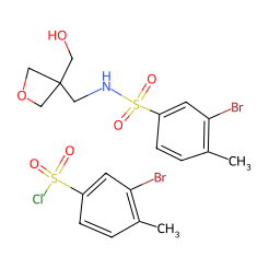 Cc1ccc(S(=O)(=O)Cl)cc1Br.Cc1ccc(S(=O)(=O)NCC2(CO)COC2)cc1Br